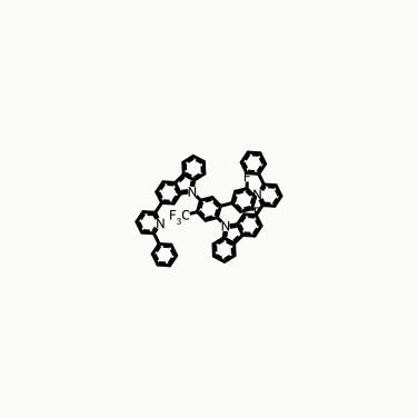 Fc1cc(F)cc(-c2cc(-n3c4ccccc4c4ccc(-c5cccc(-c6ccccc6)n5)cc43)c(C(F)(F)F)cc2-n2c3ccccc3c3ccc(-c4cccc(-c5ccccc5)n4)cc32)c1